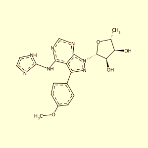 COc1ccc(-c2nn([C@@H]3O[C@H](C)[C@@H](O)[C@H]3O)c3ncnc(Nc4ncc[nH]4)c23)cc1